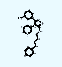 Clc1cccc(-c2nnc(SCCCCc3ccccc3)n2-c2cccnc2)c1